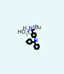 CC(C)(C)C[C@](N)(C(=O)O)c1ccc(N=C(c2ccccc2)c2ccccc2)cc1